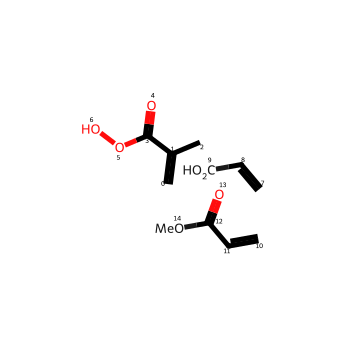 C=C(C)C(=O)OO.C=CC(=O)O.C=CC(=O)OC